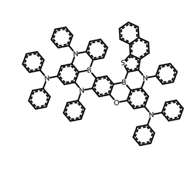 c1ccc(N(c2ccccc2)c2cc3c4c(c2)N(c2ccccc2)c2c(sc5c2ccc2ccccc25)B4c2cc4c(cc2O3)N(c2ccccc2)c2cc(N(c3ccccc3)c3ccccc3)cc3c2B4c2ccccc2N3c2ccccc2)cc1